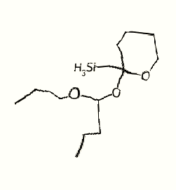 CCCOC(CCC)OC1([SiH3])CCCCO1